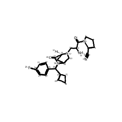 N#CC1CCCN1C(=O)C(N)CN1CC2C[C@H]1C(=O)N2C(c1ccc(F)cc1)C1CCC1